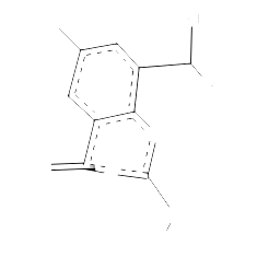 CCSc1cc(=O)c2cc(F)cc(C(C)Br)c2o1